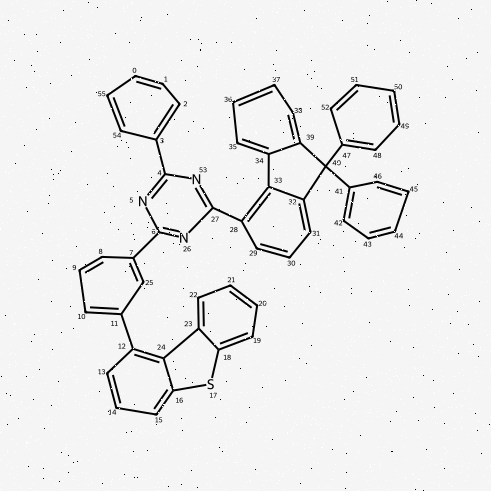 c1ccc(-c2nc(-c3cccc(-c4cccc5sc6ccccc6c45)c3)nc(-c3cccc4c3-c3ccccc3C4(c3ccccc3)c3ccccc3)n2)cc1